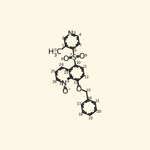 Cc1cnccc1S(=O)(=O)c1ccc(OCc2ccccc2)c2c1ccc[n+]2[O-]